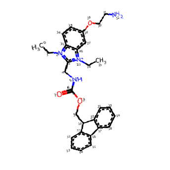 CCn1c(CNC(=O)OCC2c3ccccc3-c3ccccc32)[n+](CC)c2cc(OCCN)ccc21